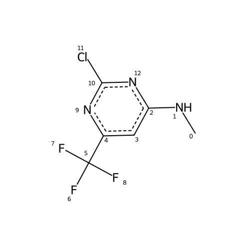 CNc1cc(C(F)(F)F)nc(Cl)n1